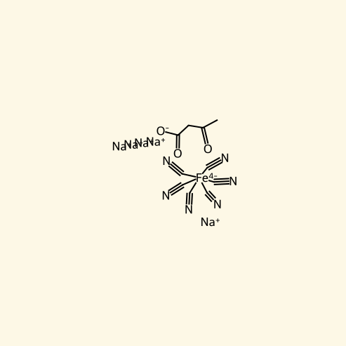 CC(=O)CC(=O)[O-].N#[C][Fe-4]([C]#N)([C]#N)([C]#N)([C]#N)[C]#N.[Na+].[Na+].[Na+].[Na+].[Na+]